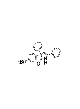 CC(C)(C)c1ccc(C2(c3ccccc3)C=C(c3ccccc3)NC2=O)cc1